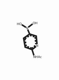 CC(=O)Nc1ccc(N(O)O)cn1